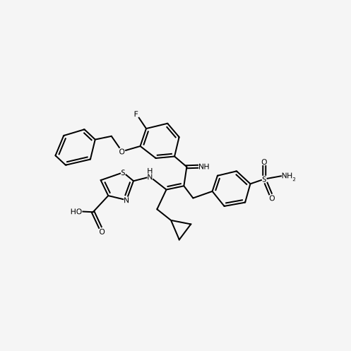 N=C(/C(Cc1ccc(S(N)(=O)=O)cc1)=C(/CC1CC1)Nc1nc(C(=O)O)cs1)c1ccc(F)c(OCc2ccccc2)c1